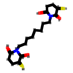 O=C1CCC(=S)C(=O)N1CCCCCCCCN1C(=O)CCC(=S)C1=O